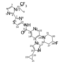 C[C@H](n1ccnc1-c1nc(NC(=O)c2cc(-n3cnc(C4CC4)c3)c(N3CCC(F)CC3)cn2)cs1)C(F)(F)F